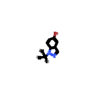 [2H]C([2H])([2H])n1ncc2cc(Br)ccc21